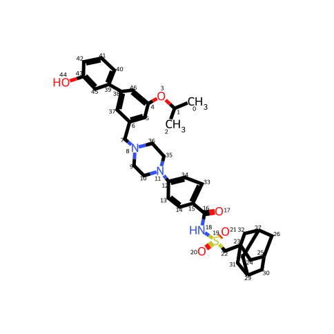 CC(C)Oc1cc(CN2CCN(c3ccc(C(=O)NS(=O)(=O)CC45CC6CC(CC(C6)C4)C5)cc3)CC2)cc(-c2cccc(O)c2)c1